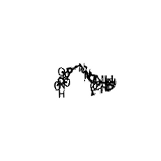 O=C1CCC(N2Cc3cc(C#CCN4CCC(n5cc6cc(NC(=O)c7cnn8cccnc78)c(OCC7CC7)cc6n5)CC4)ccc3C2=O)C(=O)N1